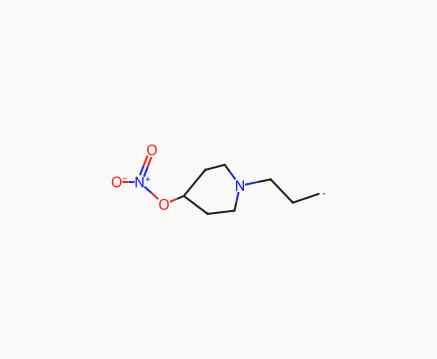 [CH2]CCN1CCC(O[N+](=O)[O-])CC1